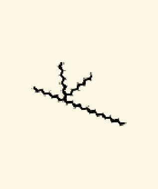 CCCCCCCCCCCCCCCCC(CCCCCCCC)[C](CCCCCCCC)CCCCCCCC